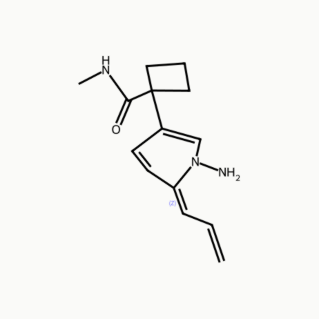 C=C/C=C1/C=CC(C2(C(=O)NC)CCC2)=CN1N